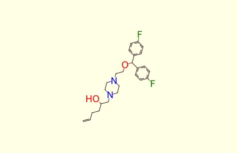 C=CCCC(O)CN1CCN(CCOC(c2ccc(F)cc2)c2ccc(F)cc2)CC1